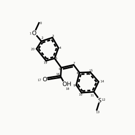 COc1ccc(/C(=C/c2ccc(SC)cc2)C(=O)O)cc1